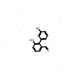 O=Cc1cccc(O)c1-c1cccc(Br)c1